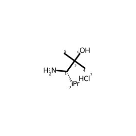 CC(C)[C@H](N)C(C)(C)O.Cl